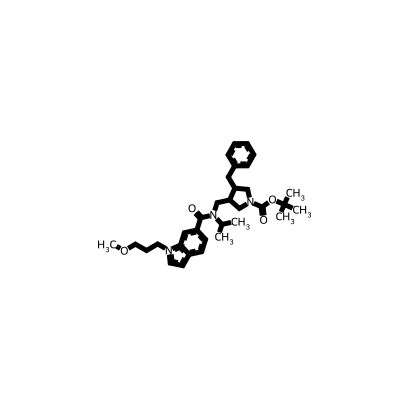 COCCCn1ccc2ccc(C(=O)N(CC3CN(C(=O)OC(C)(C)C)CC3Cc3ccccc3)C(C)C)cc21